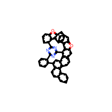 c1ccc(-c2cc3ccccc3c3c2ccc2ccccc23)c(-c2nc(-c3cccc4oc5ccccc5c34)nc(-c3cccc4oc5ccccc5c34)n2)c1